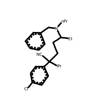 CCCN(Cc1ccccc1)C(CC)CCC(C#N)(c1ccc(Cl)cc1)C(C)C